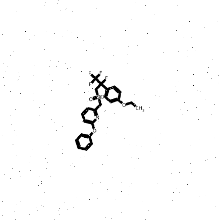 CCOc1ccc(C(F)(CS(=O)(=O)Cc2cccc(Oc3ccccc3)n2)C(F)(F)F)cc1